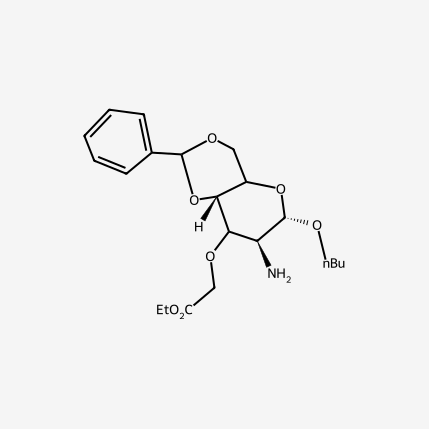 CCCCO[C@H]1OC2COC(c3ccccc3)O[C@H]2C(OCC(=O)OCC)[C@@H]1N